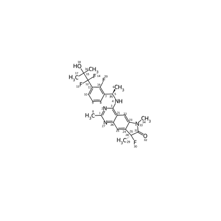 Cc1nc(N[C@H](C)c2cccc(C(F)(F)C(C)(C)O)c2F)c2cc3c(cc2n1)[C@](C)(F)C(=O)N3C